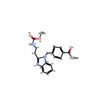 COC(=O)c1ccc(Cn2c(CCNC(=O)OC(C)(C)C)nc3ccccc32)cc1